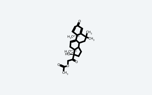 CC(=O)OCC(=O)[C@@]1(O)CCC2C3CC(C)(C)C4=CC(=O)C=C[C@]4(C)C3=CC[C@@]21C